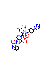 CC(C)CC(NC(=O)c1ccc(-n2ccnc2)cc1)C(=O)N1CCC2C1C(=O)CN2C(=O)c1ccccn1